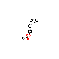 CCOC(=O)C[C@H]1CC[C@H](c2ccc(OS(=O)(=O)C(F)(F)F)cc2)CC1